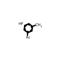 CC(=O)c1cccc(C)c1.F